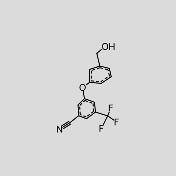 N#Cc1cc(Oc2cccc(CO)c2)cc(C(F)(F)F)c1